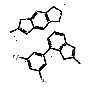 CC1=Cc2cc3c(cc2C1)CCC3.CC1=Cc2cccc(-c3cc(C(F)(F)F)cc(C(F)(F)F)c3)c2C1